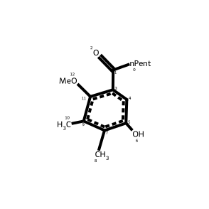 CCCCCC(=O)c1cc(O)c(C)c(C)c1OC